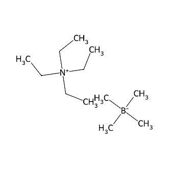 CC[N+](CC)(CC)CC.C[B-](C)(C)C